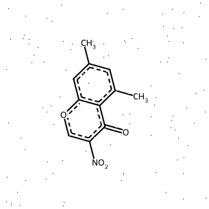 Cc1cc(C)c2c(=O)c([N+](=O)[O-])coc2c1